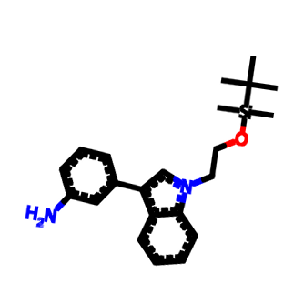 CC(C)(C)[Si](C)(C)OCCn1cc(-c2cccc(N)c2)c2ccccc21